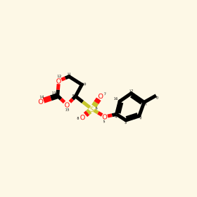 Cc1ccc(OS(=O)(=O)C2CCOC(=O)O2)cc1